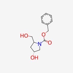 O=C(OCc1ccccc1)N1C[C@H](O)CC1CO